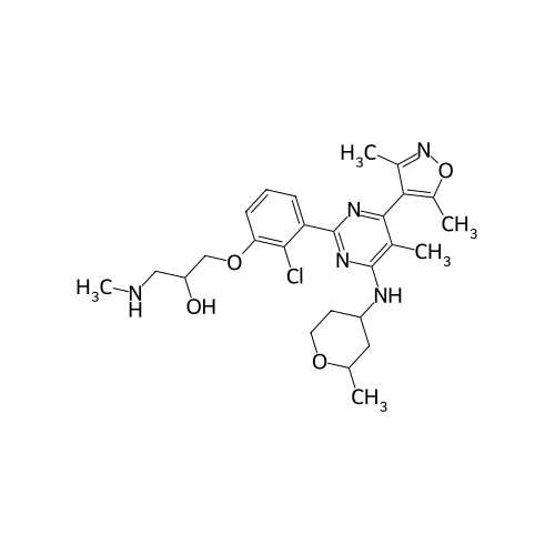 CNCC(O)COc1cccc(-c2nc(NC3CCOC(C)C3)c(C)c(-c3c(C)noc3C)n2)c1Cl